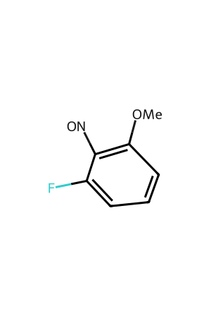 COc1cccc(F)c1N=O